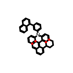 c1ccc(N(c2cccc(-c3cccc4ccccc34)c2)c2ccccc2-c2cccc3cccc(C4CCCCC4)c23)cc1